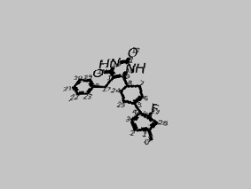 Cc1ccc(C2=CCC(c3[nH]c(=O)[nH]c(=O)c3Cc3ccccc3)CC2)c(F)c1